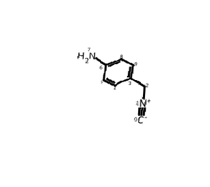 [C-]#[N+]Cc1ccc(N)cc1